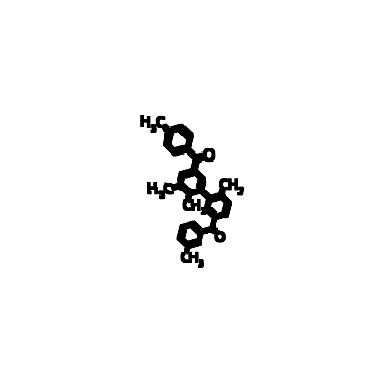 Cc1ccc(C(=O)c2cc(C)c(C)c(-c3cc(C(=O)c4cccc(C)c4)ccc3C)c2)cc1